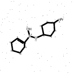 CCCC1CCC(OB(O)C2=CCCCC2)CC1